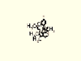 CC(C)=CCn1c(C)c(C)c2ccnc(N(C)Cc3ccc(F)cc3)c21.Cl